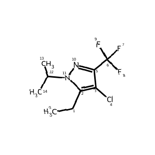 CCc1c(Cl)c(C(F)(F)F)nn1C(C)C